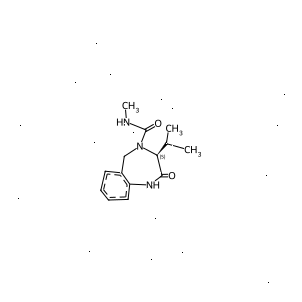 CNC(=O)N1Cc2ccccc2NC(=O)[C@@H]1C(C)C